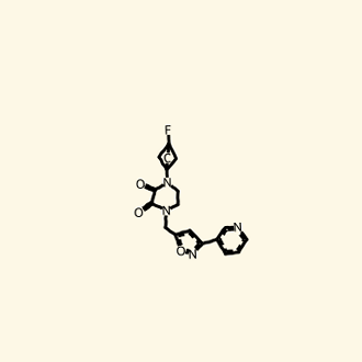 O=C1C(=O)N(C23CC(F)(C2)C3)CCN1Cc1cc(-c2cccnc2)no1